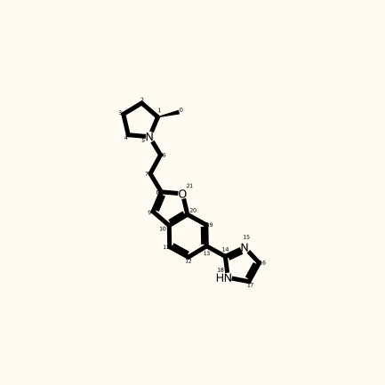 C[C@@H]1CCCN1CCc1cc2ccc(-c3ncc[nH]3)cc2o1